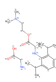 CC(C)c1cccc(C(C)C)c1N[C@@H](C)C(=O)OCCN(C)C.NCC(=O)O